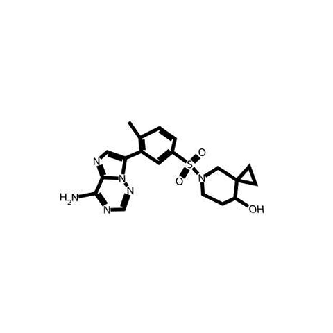 Cc1ccc(S(=O)(=O)N2CCC(O)C3(CC3)C2)cc1-c1cnc2c(N)ncnn12